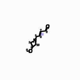 COC1CN(C/C=C/C=O)C1